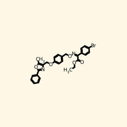 CCOC(=O)C(=NOCc1ccc(OCc2nc(-c3ccccc3)oc2C)cc1)c1ccc(Br)cc1